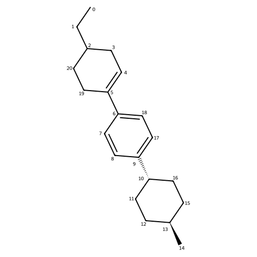 CCC1CC=C(c2ccc([C@H]3CC[C@H](C)CC3)cc2)CC1